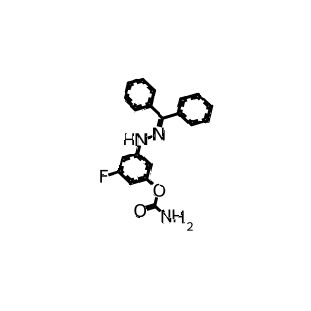 NC(=O)Oc1cc(F)cc(NN=C(c2ccccc2)c2ccccc2)c1